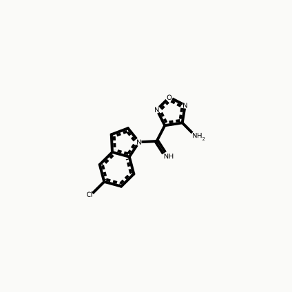 N=C(c1nonc1N)n1ccc2cc(Cl)ccc21